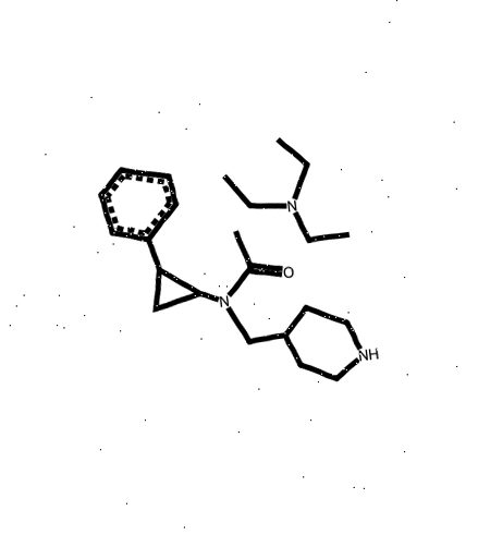 CC(=O)N(CC1CCNCC1)C1CC1c1ccccc1.CCN(CC)CC